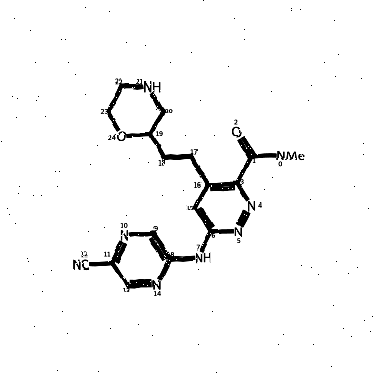 CNC(=O)c1nnc(Nc2cnc(C#N)cn2)cc1CCC1CNCCO1